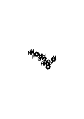 O=C(Nc1ccc(-n2cncn2)c(F)c1)c1ccc(C(=O)Nc2ccccc2OCc2ccncc2)s1